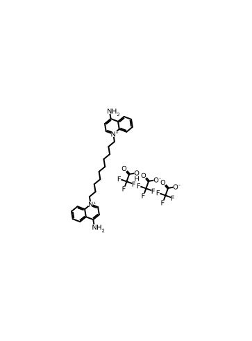 Nc1cc[n+](CCCCCCCCCC[n+]2ccc(N)c3ccccc32)c2ccccc12.O=C(O)C(F)(F)F.O=C([O-])C(F)(F)F.O=C([O-])C(F)(F)F